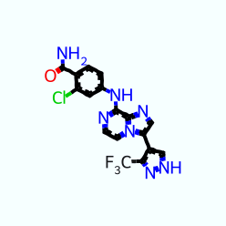 NC(=O)c1ccc(Nc2nccn3c(-c4c[nH]nc4C(F)(F)F)cnc23)cc1Cl